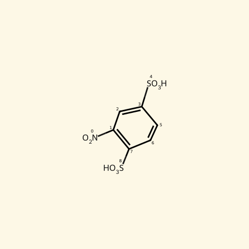 O=[N+]([O-])c1cc(S(=O)(=O)O)ccc1S(=O)(=O)O